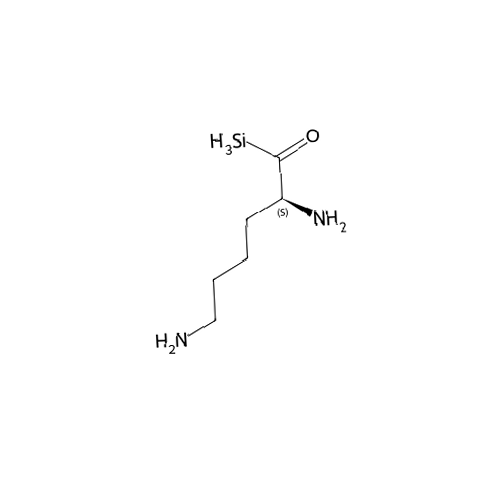 NCCCC[C@H](N)C(=O)[SiH3]